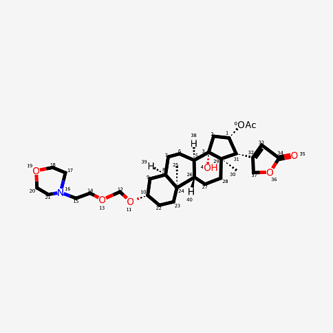 CC(=O)O[C@H]1C[C@]2(O)[C@@H]3CC[C@@H]4C[C@@H](OCOCCN5CCOCC5)CC[C@]4(C)[C@H]3CC[C@]2(C)[C@H]1C1=CC(=O)OC1